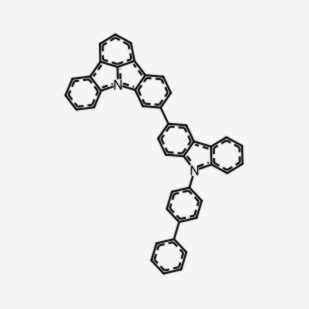 c1ccc(-c2ccc(-n3c4ccccc4c4cc(-c5ccc6c7cccc8c9ccccc9n(c6c5)c87)ccc43)cc2)cc1